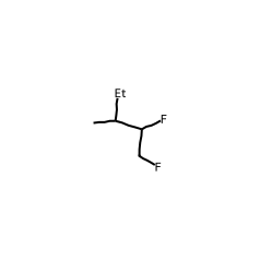 CCC(C)C(F)CF